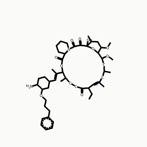 CCC1/C=C(\C)CC(C)CC(OC)C2OC(O)(C(=O)C(=O)N3CCCCC3C(=O)OC(C(C)=CC3CCC(N)C(OCCCc4ccccc4)C3)C(C)CCC1=O)C(C)CC2OC